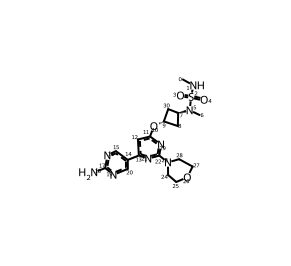 CNS(=O)(=O)N(C)[C@H]1C[C@H](Oc2cc(-c3cnc(N)nc3)nc(N3CCOCC3)n2)C1